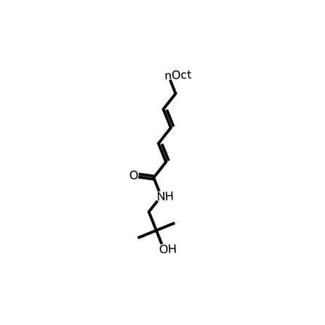 CCCCCCCCCC=CC=CC(=O)NCC(C)(C)O